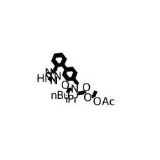 CCCCC(=O)N(Cc1ccc(-c2ccccc2-c2nn[nH]n2)cc1)[C@H](C(=O)OC(C)OC(C)=O)C(C)C